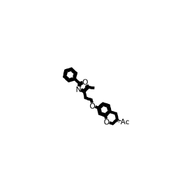 CC(=O)[C@@H]1COc2cc(OCCc3nc(-c4ccccc4)oc3C)ccc2C1